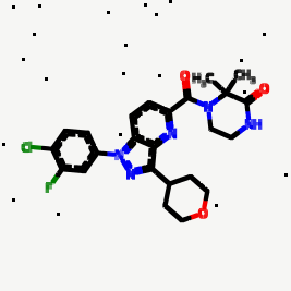 CC1(C)C(=O)NCCN1C(=O)c1ccc2c(n1)c(C1CCOCC1)nn2-c1ccc(Cl)c(F)c1